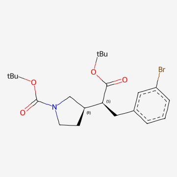 CC(C)(C)OC(=O)[C@@H](Cc1cccc(Br)c1)[C@H]1CCN(C(=O)OC(C)(C)C)C1